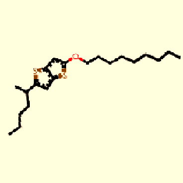 C[CH]CCC(C)c1cc2sc(OCCCCCCCCC)cc2s1